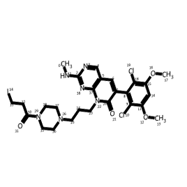 CNc1ncc2cc(-c3c(Cl)c(OC)cc(OC)c3Cl)c(=O)n(CCCN3CCN(C(=O)CCI)CC3)c2n1